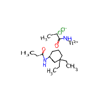 CCC(=O)NC1CCCC(CC)(CC)C1.CCC(=O)[NH][Ti+2].[Cl-].[Cl-]